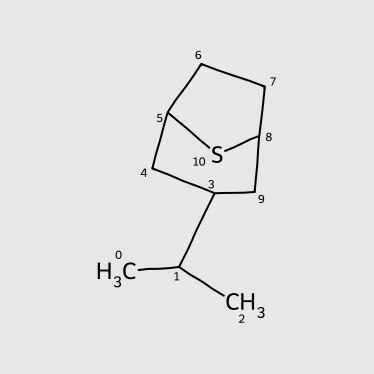 CC(C)C1CC2CCC(C1)S2